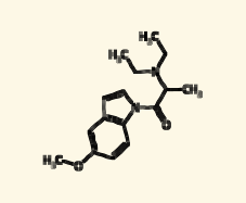 CCN(CC)C(C)C(=O)n1ccc2cc(OC)ccc21